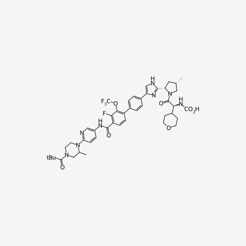 CC1CN(C(=O)C(C)(C)C)CCN1c1ccc(NC(=O)c2ccc(-c3ccc(-c4c[nH]c([C@@H]5C[C@H](C)CN5C(=O)[C@@H](NC(=O)O)C5CCOCC5)n4)cc3)c(OC(F)(F)F)c2F)cn1